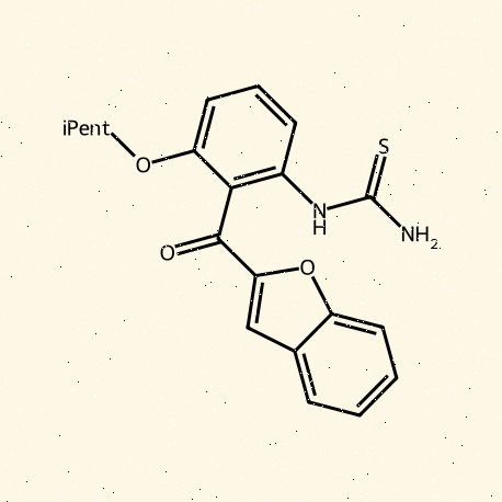 CCCC(C)Oc1cccc(NC(N)=S)c1C(=O)c1cc2ccccc2o1